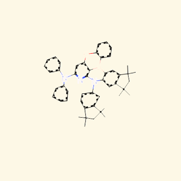 CC1(C)CC(C)(C)c2cc(N3c4cc5c(cc4B4c6ccccc6Oc6cc(N(c7ccccc7)c7ccccc7)nc3c64)C(C)(C)CC5(C)C)ccc21